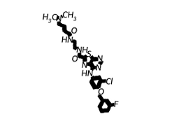 CN(C)C/C=C/C(=O)NCCNC(=O)c1nc2c(Nc3ccc(OCc4cccc(F)c4)c(Cl)c3)ncnc2s1